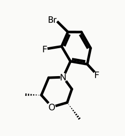 C[C@@H]1CN(c2c(F)ccc(Br)c2F)C[C@H](C)O1